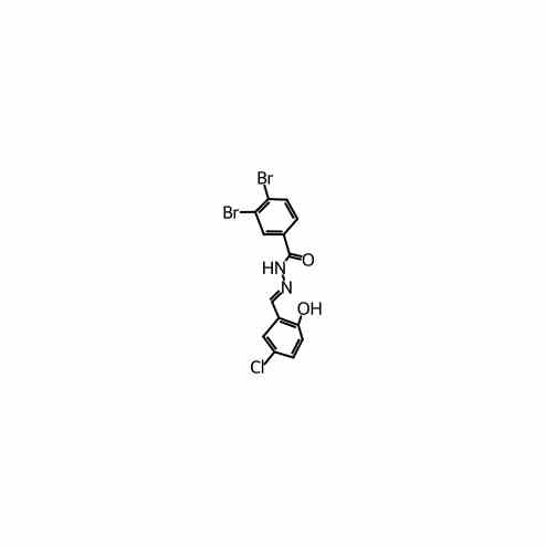 O=C(NN=Cc1cc(Cl)ccc1O)c1ccc(Br)c(Br)c1